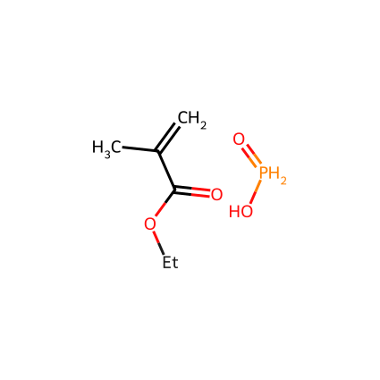 C=C(C)C(=O)OCC.O=[PH2]O